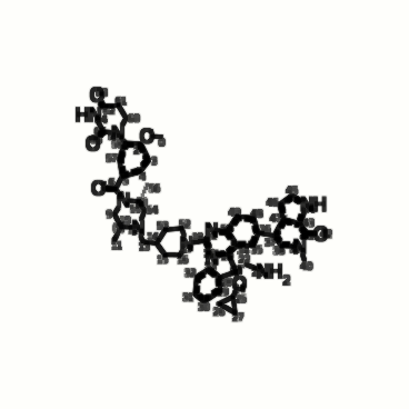 COc1ccc(C(=O)N2C[C@H](C)N(CC3CCN(c4nc([C@@](CN)(OC5CC5)c5ccccc5)c5cc(-c6cn(C)c(=O)c7[nH]ccc67)ccc5n4)CC3)C[C@H]2C)cc1N1CCC(=O)NC1=O